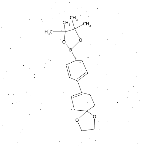 CC1(C)OB(c2ccc(C3=CCC4(CC3)OCCO4)cc2)OC1(C)C